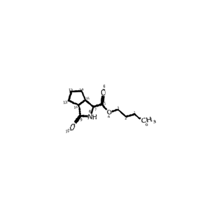 CCCCOC(=O)C1NC(=O)C2CCCC21